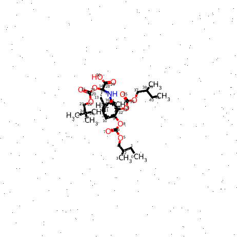 CCC(C)COC(=O)Oc1ccc(C[C@](NC(C)C)(OC(=O)OCC(C)(C)C)C(=O)O)cc1OC(=O)OCC(C)CC